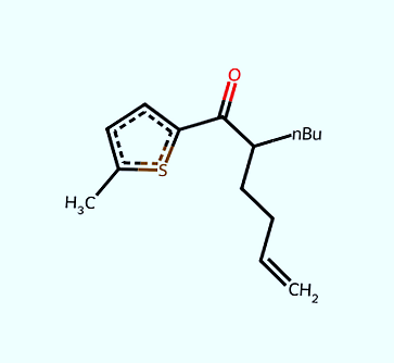 C=CCCC(CCCC)C(=O)c1ccc(C)s1